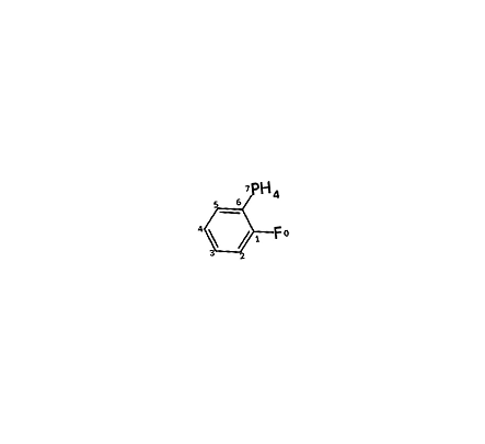 Fc1ccccc1[PH4]